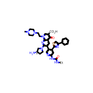 CCNC(=O)Nc1cc(-c2nc(-c3ccccc3)cs2)c(-c2cc3c(=O)c(C(=O)O)cn(CCN4CCN(C)CC4)c3nc2N2CC[C@@H](N)C2)cn1